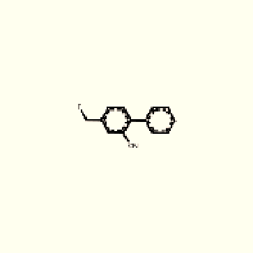 N#Cc1cc(CF)ccc1-c1ccccc1